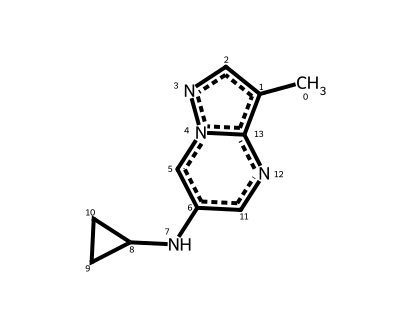 Cc1cnn2cc(NC3CC3)cnc12